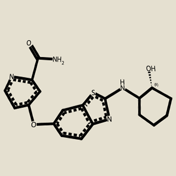 NC(=O)c1cc(Oc2ccc3nc(NC4CCCC[C@H]4O)sc3c2)ccn1